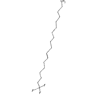 CCCCCCCCCCCCCCCCCC(F)(F)F